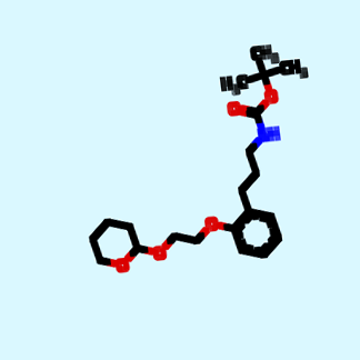 CC(C)(C)OC(=O)NCCCc1ccccc1OCCOC1CCCCO1